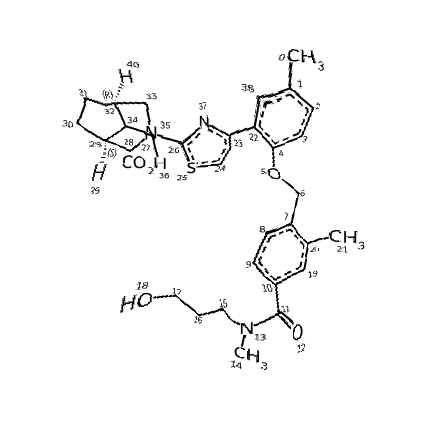 Cc1ccc(OCc2ccc(C(=O)N(C)CCCO)cc2C)c(-c2csc(N3C[C@H]4CC[C@@H](C3)C4CC(=O)O)n2)c1